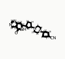 N#Cc1ccc(N2CCN(C3C=C(c4cc5ncncc5c(=O)[nH]4)CC3)CC2)cc1